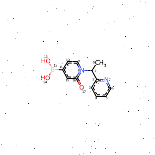 CC(c1ccccn1)n1ccc(B(O)O)cc1=O